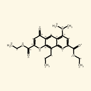 CCCc1c2nc(C(=O)OCC)cc(N(C)C)c2cc2c(=O)cc(C(=O)OCC)oc12